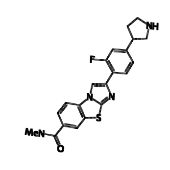 CNC(=O)c1ccc2c(c1)sc1nc(-c3ccc(C4CCNC4)cc3F)cn12